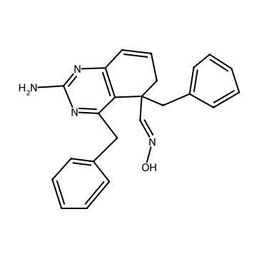 Nc1nc2c(c(Cc3ccccc3)n1)C(C=NO)(Cc1ccccc1)CC=C2